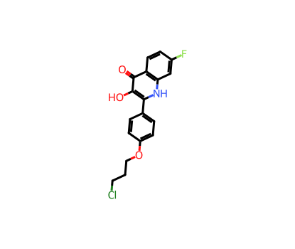 O=c1c(O)c(-c2ccc(OCCCCl)cc2)[nH]c2cc(F)ccc12